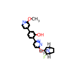 COc1cc(-c2ccc(-c3ccc(O[C@H]4C[C@@H]5CC[C@H]([C@H]4F)N5C)nn3)c(O)c2)ccn1